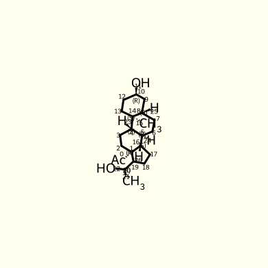 CC(=O)[C@]12CC[C@H]3[C@@H](CC[C@H]4C[C@H](O)CC[C@@]43C)[C@@H]1CCC2[C@@H](C)O